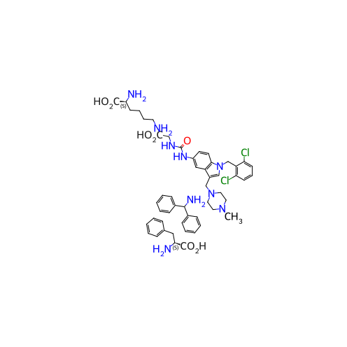 CN1CCN(Cc2cn(Cc3c(Cl)cccc3Cl)c3ccc(NC(=O)NCC(=O)O)cc23)CC1.NC(c1ccccc1)c1ccccc1.NCCCC[C@H](N)C(=O)O.N[C@@H](Cc1ccccc1)C(=O)O